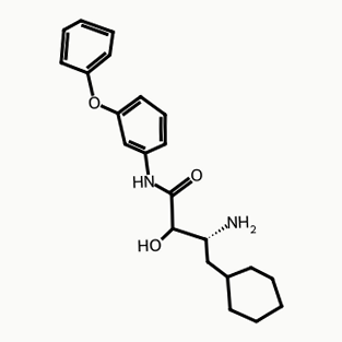 N[C@H](CC1CCCCC1)C(O)C(=O)Nc1cccc(Oc2ccccc2)c1